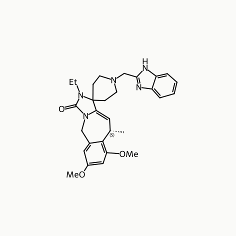 CCN1C(=O)N2Cc3cc(OC)cc(OC)c3[C@@H](C)C=C2C12CCN(Cc1nc3ccccc3[nH]1)CC2